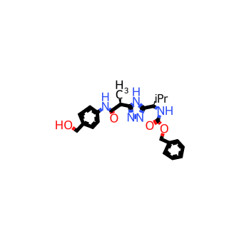 CC(C)[C@H](NC(=O)OCc1ccccc1)c1nnc([C@H](C)C(=O)Nc2ccc(CO)cc2)[nH]1